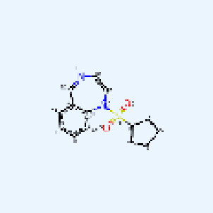 O=S(=O)(C1CCCC1)N1C=CN=Cc2ccccc21